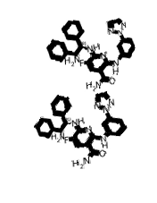 NC(=O)c1cc(F)c(N[C@@H](c2ccccc2)[C@H](N)c2ccccc2)nc1Nc1cccc(-n2nccn2)c1.NC(=O)c1cc(F)c(N[C@H](c2ccccc2)[C@@H](N)c2ccccc2)nc1Nc1cccc(-n2nccn2)c1